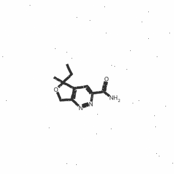 CCC1(C)OCc2nnc(C(N)=O)cc21